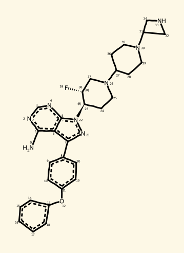 Nc1ncnc2c1c(-c1ccc(Oc3ccccc3)cc1)nn2[C@@H]1CCN(C2CCN(C3CNC3)CC2)C[C@H]1F